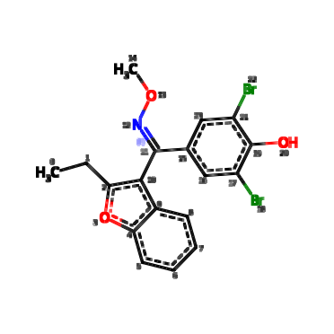 CCc1oc2ccccc2c1/C(=N/OC)c1cc(Br)c(O)c(Br)c1